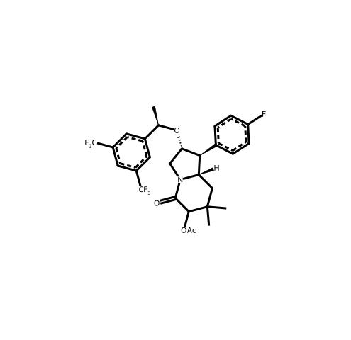 CC(=O)OC1C(=O)N2C[C@H](O[C@H](C)c3cc(C(F)(F)F)cc(C(F)(F)F)c3)[C@@H](c3ccc(F)cc3)[C@@H]2CC1(C)C